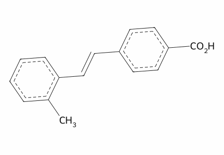 Cc1ccccc1C=Cc1ccc(C(=O)O)cc1